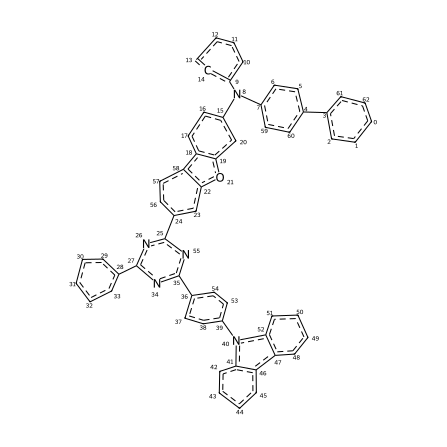 c1ccc(-c2ccc(N(c3ccccc3)c3ccc4c(c3)oc3cc(-c5nc(-c6ccccc6)nc(-c6ccc(-n7c8ccccc8c8ccccc87)cc6)n5)ccc34)cc2)cc1